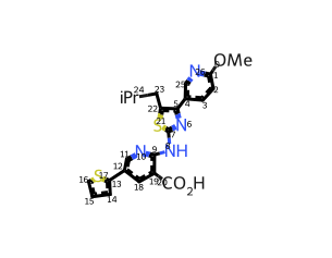 COc1ccc(-c2nc(Nc3ncc(-c4cccs4)cc3C(=O)O)sc2CC(C)C)cn1